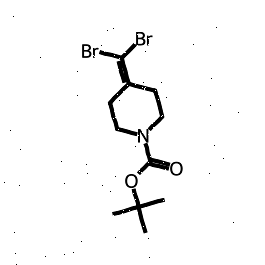 CC(C)(C)OC(=O)N1CCC(=C(Br)Br)CC1